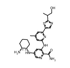 Cc1cc(Nc2cc(N[C@@H]3CCCC[C@@H]3N)cnc2C(N)=O)nc(-c2cnc(C(C)CO)s2)c1